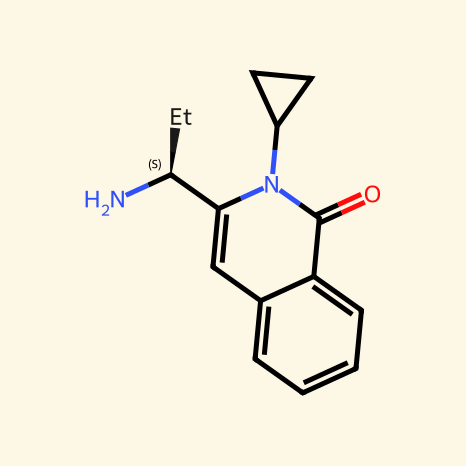 CC[C@H](N)c1cc2ccccc2c(=O)n1C1CC1